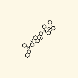 c1ccc(-c2cccc3c2oc2c(N(c4ccccc4)c4ccc5c(c4)Oc4ccc6c7c(ccc-5c47)Oc4cc(N(c5ccccc5)c5ccc7ccccc7c5)ccc4-6)cccc23)cc1